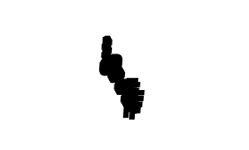 CCCCCC1COC(C2CC=C(c3ccc(-c4ccc(C(F)(F)F)c(F)c4F)c(F)c3)CC2)OC1